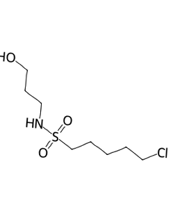 O=S(=O)(CCCCCCl)NCCCO